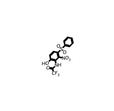 O=C(Nc1c(O)ccc(S(=O)(=O)c2ccccc2)c1[N+](=O)[O-])C(F)(F)F